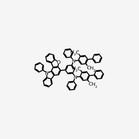 Cc1cc(N(c2ccccc2)c2cc(-c3cc4c5ccccc5n(-c5ccccc5)c4c4c3oc3ccccc34)cc(N(c3ccccc3)c3cc(C)c(-c4ccccc4)cc3C)c2)c(C)cc1-c1ccccc1